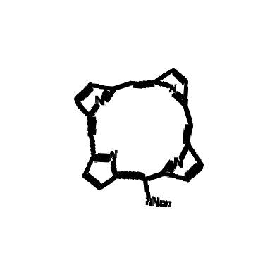 CCCCCCCCCC1=C2C=CC(=N2)C=C2C=CC(=N2)C=C2C=CC(=N2)C=C2C=CC1=N2